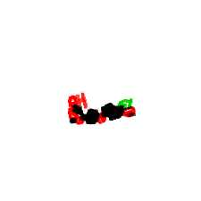 CCO[C@@H](CC(=O)O)c1ccc(OC2CCc3c2ccc(OC)c3Cl)cc1